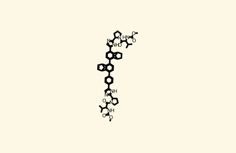 COC(=O)NC(C(=O)N1CCCC1c1ncc(-c2ccc(-c3ccc(-c4ccc(-c5cnc(C6CCCN6C(=O)C(NC(=O)OC)C(C)C)[nH]5)c5c4C4CCC5C4)c4c3C3C=CC4C3)cc2)[nH]1)C(C)C